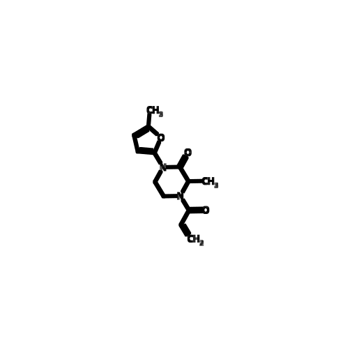 C=CC(=O)N1CCN(c2ccc(C)o2)C(=O)C1C